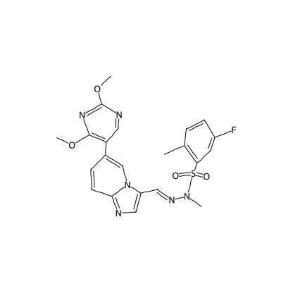 COc1ncc(-c2ccc3ncc(C=NN(C)S(=O)(=O)c4cc(F)ccc4C)n3c2)c(OC)n1